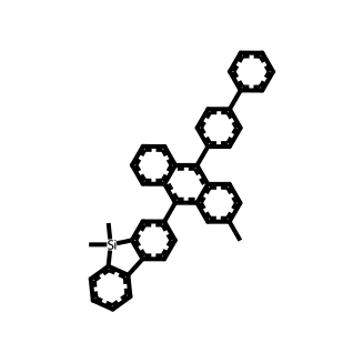 Cc1ccc2c(-c3ccc(-c4ccccc4)cc3)c3ccccc3c(-c3ccc4c(c3)[Si](C)(C)c3ccccc3-4)c2c1